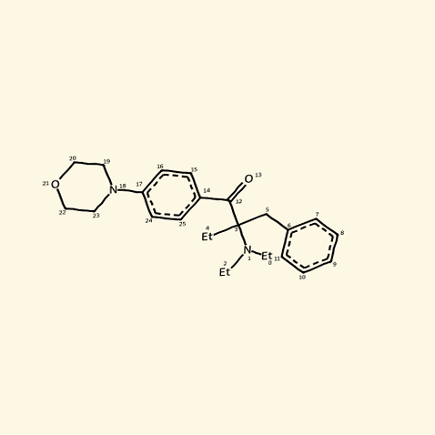 CCN(CC)C(CC)(Cc1ccccc1)C(=O)c1ccc(N2CCOCC2)cc1